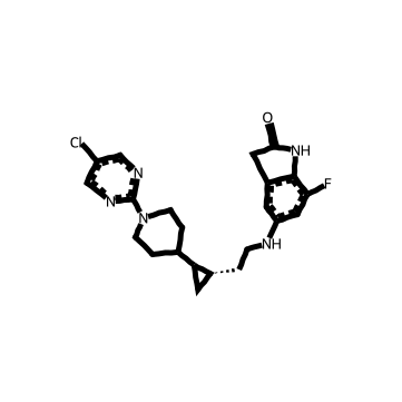 O=C1Cc2cc(NCC[C@@H]3CC3C3CCN(c4ncc(Cl)cn4)CC3)cc(F)c2N1